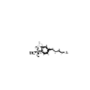 Cc1cc(CCCCCl)ccc1S(=O)(=O)O